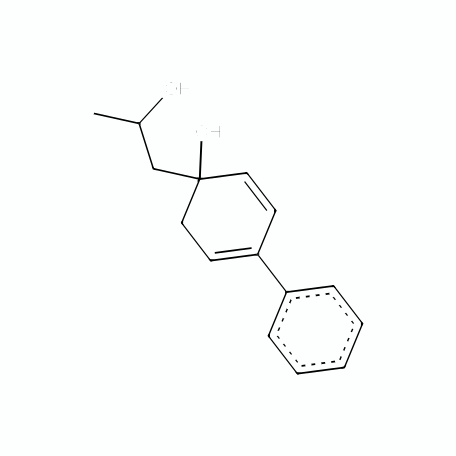 CC(O)CC1(O)C=CC(c2ccccc2)=CC1